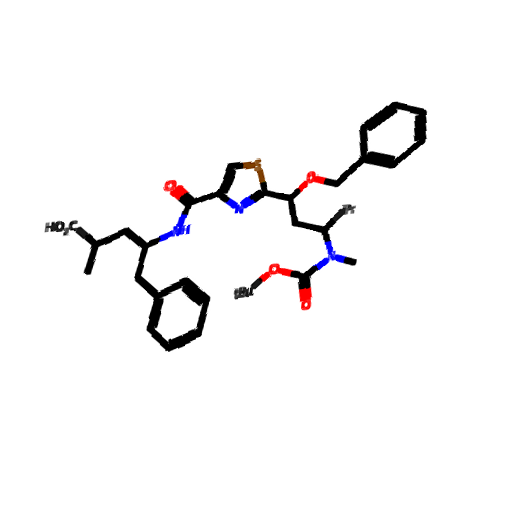 CC(CC(Cc1ccccc1)NC(=O)c1csc(C(CC(C(C)C)N(C)C(=O)OC(C)(C)C)OCc2ccccc2)n1)C(=O)O